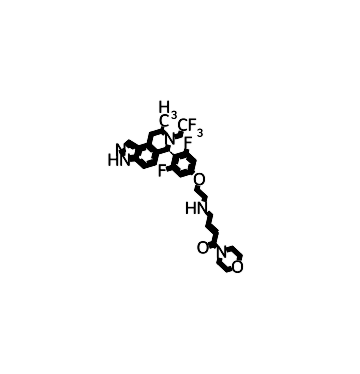 C[C@@H]1Cc2c(ccc3[nH]ncc23)[C@@H](c2c(F)cc(OCCNC/C=C/C(=O)N3CCOCC3)cc2F)N1CC(F)(F)F